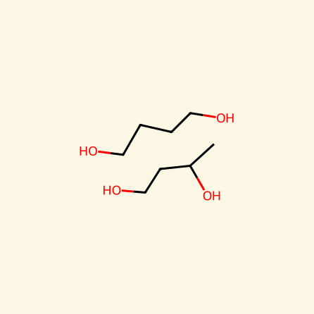 CC(O)CCO.OCCCCO